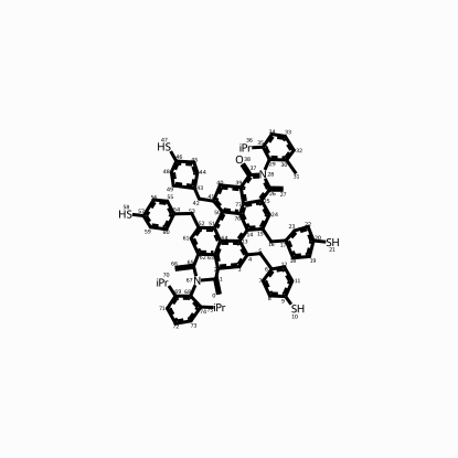 C=C1c2cc(Cc3ccc(S)cc3)c3c4c(Cc5ccc(S)cc5)cc5c(=C)n(-c6c(C)cccc6C(C)C)c(=O)c6cc(Cc7ccc(S)cc7)c(c7c(Cc8ccc(S)cc8)cc(c2c37)C(=C)N1c1c(C(C)C)cccc1C(C)C)c4c56